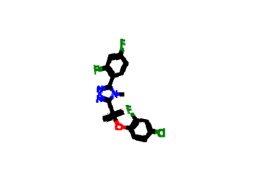 Cn1c(-c2ccc(F)cc2F)nnc1C(C)(C)Oc1ccc(Cl)cc1F